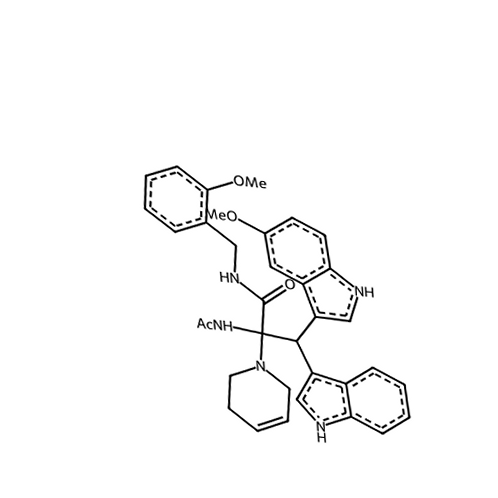 COc1ccc2[nH]cc(C(c3c[nH]c4ccccc34)C(NC(C)=O)(C(=O)NCc3ccccc3OC)N3CC=CCC3)c2c1